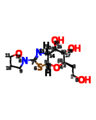 OCC[C@H]1O[C@@H]2SC(N3CCCO3)=N[C@@H]2[C@@H](O)[C@@H]1O